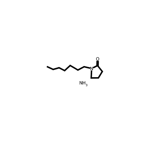 CCCCCCCN1CCCC1=O.N